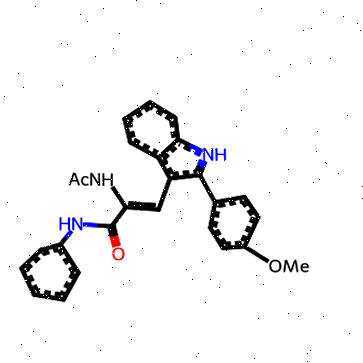 COc1ccc(-c2[nH]c3ccccc3c2C=C(NC(C)=O)C(=O)Nc2ccccc2)cc1